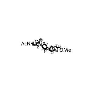 COCc1cn2cc(-c3ccc(N4C[C@H](CNC(C)=O)OC4=O)cc3F)ccc2n1